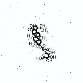 C=C(C)[C@@H]1CC[C@]2(C(=O)O)CC[C@]3(C)C(CCC4[C@@]5(C)CC[C@H](OC(=O)CN(OC)C6O[C@H](CO)[C@H](O)[C@H](O)[C@@H]6O)C(C)(C)C5CC[C@]43C)C12